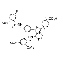 COc1ccc(CNc2nccn3c(C4(C)CCC(C)(C(=O)O)CC4)nc(-c4ccc(CNC(=O)c5cc(F)ccc5OC)cc4)c23)c(OC)c1